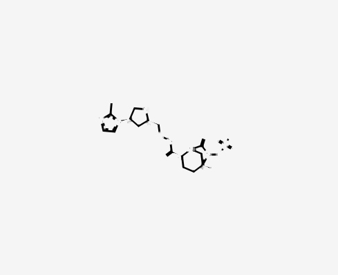 Cc1nccn1[C@H]1CN[C@@H](CONC(=O)[C@@H]2CC[C@@H]3CN2C(=O)N3OS(=O)(=O)O)C1